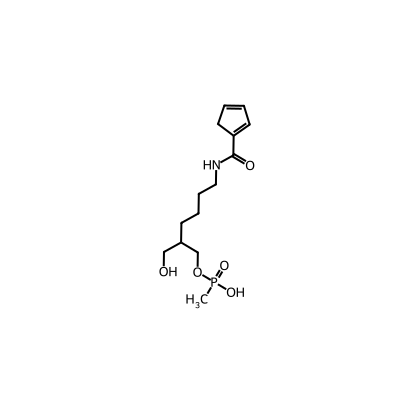 CP(=O)(O)OCC(CO)CCCCNC(=O)C1=CC=CC1